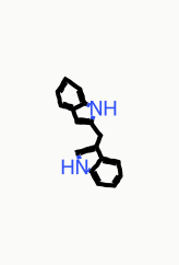 c1ccc2[nH]c(Cc3c[nH]c4ccccc34)cc2c1